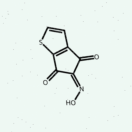 O=c1c(=NO)c(=O)c2sccc12